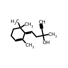 C#CC(C)(O)C/C=C1\C(C)=CCCC1(C)C